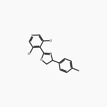 Clc1cncc(Cl)c1C1=NC(c2ccc(I)cc2)CO1